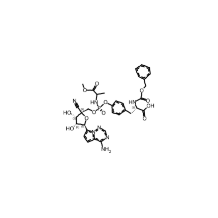 COC(=O)C(C)NP(=O)(OC[C@@]1(C#N)O[C@@H](c2ccc3c(N)ncnn23)[C@H](O)[C@@H]1O)Oc1ccc(C[C@H](NC(=O)OCc2ccccc2)C(=O)O)cc1